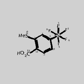 CSc1cc(S(F)(F)(F)(F)F)ccc1C(=O)O